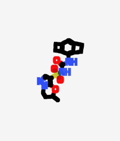 CC1CCn2ncc(S(=O)(=O)NC(=O)Nc3c4c(cc5c3CC5)CC4)c2O1